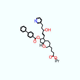 CC(C)OC(=O)CCCC1CCC2C(C=CC(O)CCc3cccnc3)C(OC(=O)c3ccc(-c4ccccc4)cc3)C[C@@H]2OC1